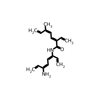 C=C/C(C)=C\C=C(/C=C)C(=O)N/C(C=C)=C/C=C(/N)C=C